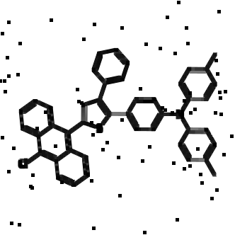 Cc1ccc(N(c2ccc(C)cc2)c2ccc(-c3sc(-c4c5ccccc5c(Cl)c5ccccc45)cc3-c3ccccc3)cc2)cc1